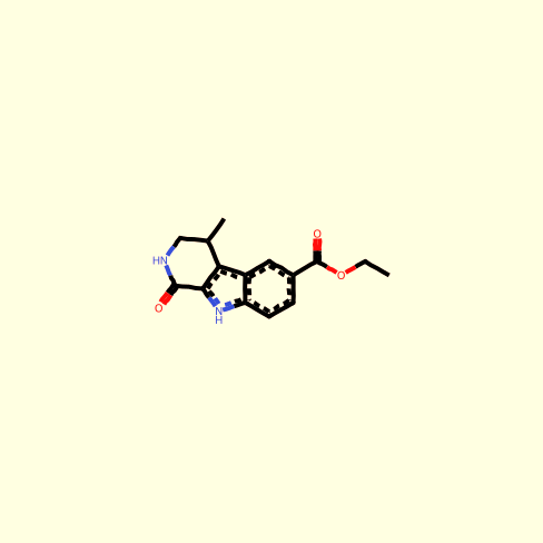 CCOC(=O)c1ccc2[nH]c3c(c2c1)C(C)CNC3=O